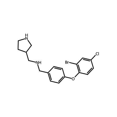 Clc1ccc(Oc2ccc(CNCC3CCNC3)cc2)c(Br)c1